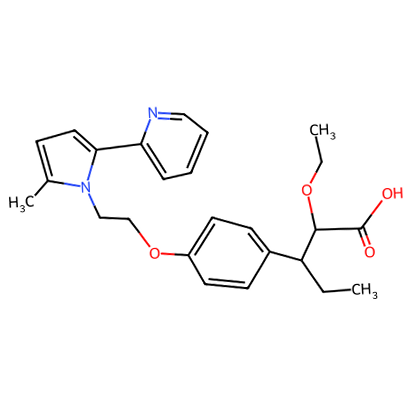 CCOC(C(=O)O)C(CC)c1ccc(OCCn2c(C)ccc2-c2ccccn2)cc1